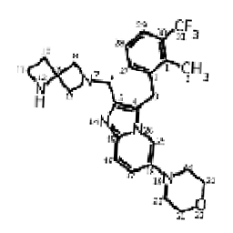 Cc1c(Cc2c(CN3CC4(CCN4)C3)nc3ccc(N4CCOCC4)cn23)cccc1C(F)(F)F